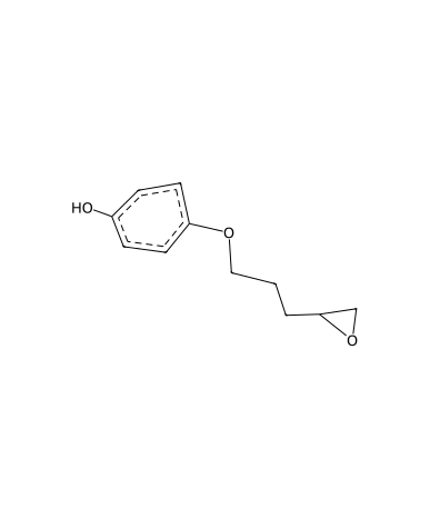 Oc1ccc(OCCCC2CO2)cc1